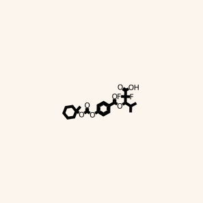 CC(C)C(OC(=O)c1ccc(OC(=O)OC2(C)CCCCC2)cc1)C(F)(F)C(=O)O